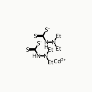 CCN(CC)NC(=S)[S-].CCN(CC)NC(=S)[S-].[Cd+2]